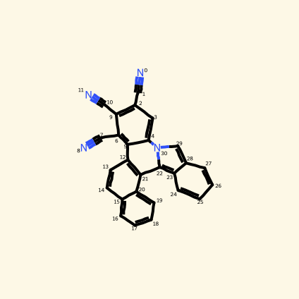 N#Cc1cc2c(c(C#N)c1C#N)c1ccc3ccccc3c1c1c3ccccc3cn21